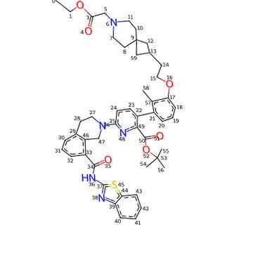 CCOC(=O)CN1CCC2(CC1)CC(CCOc1cccc(-c3ccc(N4CCc5cccc(C(=O)Nc6nc7ccccc7s6)c5C4)nc3C(=O)OC(C)(C)C)c1C)C2